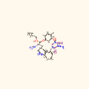 CCOC(=O)C(N)Cc1c[nH]c2ccccc12.c1ccc(On2pn[pH][nH][pH]2)cc1